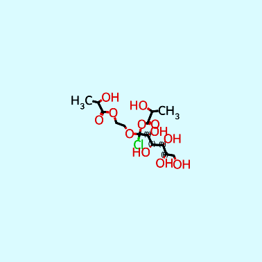 CC(O)C(=O)OCCOC(Cl)(OC(=O)C(C)O)[C@H](O)[C@@H](O)[C@H](O)[C@H](O)CO